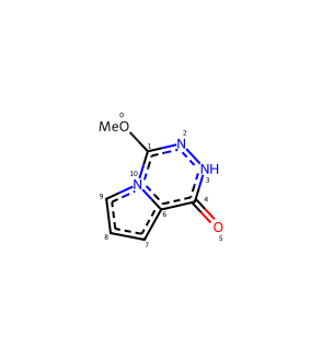 COc1n[nH]c(=O)c2cccn12